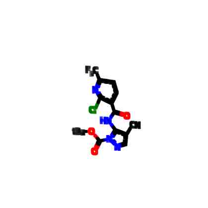 CC(C)(C)OC(=O)n1ncc(C#N)c1NC(=O)c1ccc(C(F)(F)F)nc1Cl